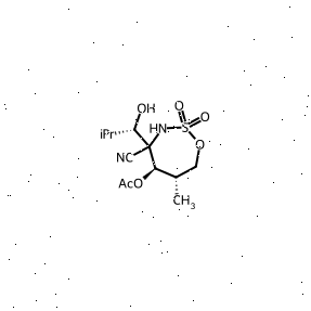 CC(=O)O[C@@H]1[C@@H](C)COS(=O)(=O)NC1(C#N)[C@@H](O)C(C)C